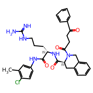 Cc1cc(NC(=O)[C@H](CCCNC(=N)N)NC(=O)[C@@H]2Cc3ccccc3CN2C(=O)CCC(=O)c2ccccc2)ccc1Cl